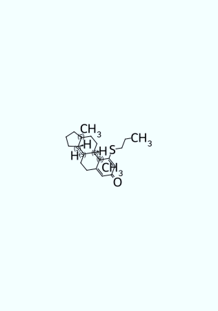 CCCSC1=CC(=O)C=C2CC[C@H]3[C@@H]4CCC[C@@]4(C)CC[C@@H]3[C@]21C